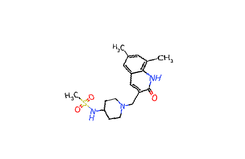 Cc1cc(C)c2[nH]c(=O)c(CN3CCC(NS(C)(=O)=O)CC3)cc2c1